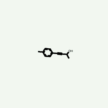 Cc1ccc(C#CC(C)O)cc1